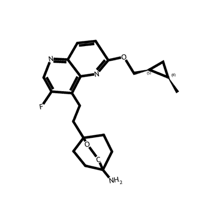 C[C@@H]1C[C@@H]1COc1ccc2ncc(F)c(CCC34CCC(N)(CC3)CO4)c2n1